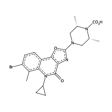 Cc1c(Br)ccc2c3oc(N4C[C@@H](C)N(C(=O)O)[C@@H](C)C4)nc3c(=O)n(C3CC3)c12